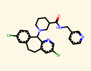 O=C(NCc1cccnc1)C1CCCN(C2c3ccc(Cl)cc3CCc3cc(Br)cnc32)C1